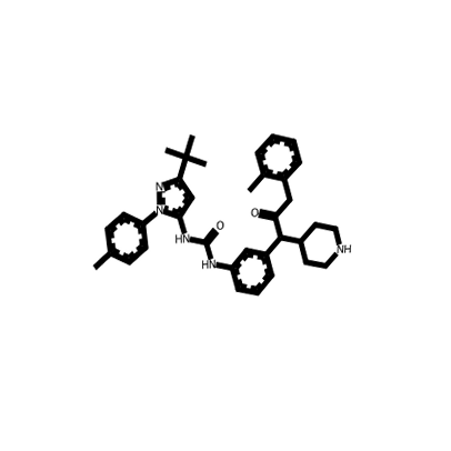 Cc1ccc(-n2nc(C(C)(C)C)cc2NC(=O)Nc2cccc(C(C(=O)Cc3ccccc3C)C3CCNCC3)c2)cc1